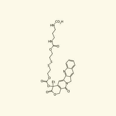 CCC1(OC(=O)OCCSSCCOC(=O)NCCCNC(=O)O)C(=O)OCc2c1cc1n(c2=O)Cc2cc3ccccc3nc2-1